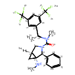 CN[C@]12C[C@H]1CN(C(=O)N(C)[C@H](C)c1cc(C(F)(F)F)cc(C(F)(F)F)c1)[C@H]2c1ccccc1